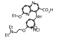 CCOc1ccc2ncc(C(=O)O)c(Nc3ccc(OCCN(CC)CC)cc3)c2n1.Cl.Cl